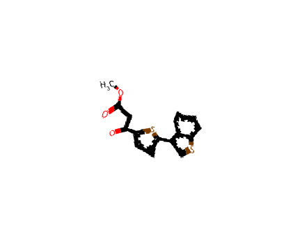 COC(=O)CC(=O)c1ccc(-c2csc3ccccc23)s1